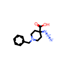 [N-]=[N+]=NC1(C(=O)O)CCN(Cc2ccccc2)CC1